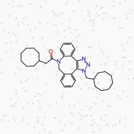 O=C(CC1CCCCCCC1)N1Cc2ccccc2-c2c(nnn2CC2CCCCCCC2)-c2ccccc21